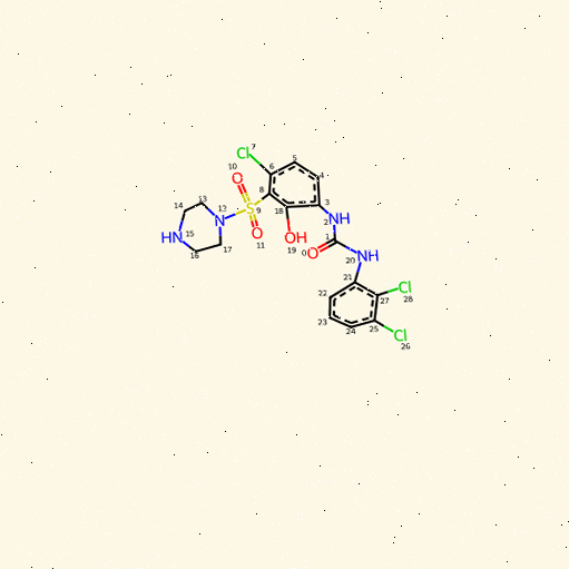 O=C(Nc1ccc(Cl)c(S(=O)(=O)N2CCNCC2)c1O)Nc1cccc(Cl)c1Cl